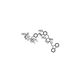 C[N+](C)(C)[C@H](COP(=O)([O-])O)c1ccc(/N=N/c2cc(CC(NC(=O)OCC3c4ccccc4-c4ccccc43)C(=O)O)ccc2O)cc1